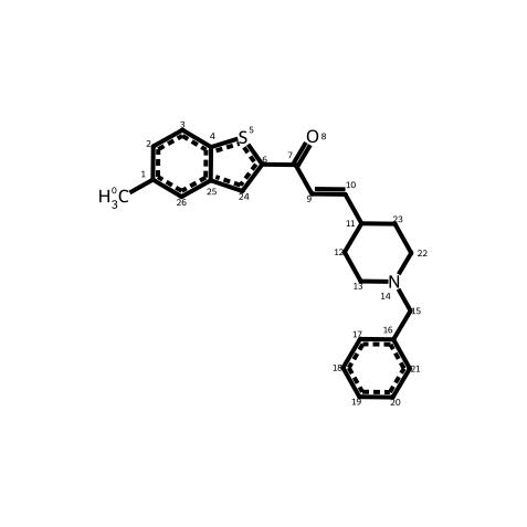 Cc1ccc2sc(C(=O)C=CC3CCN(Cc4ccccc4)CC3)cc2c1